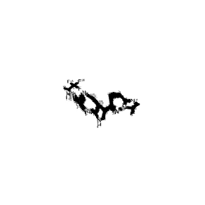 Cc1cnc2ccc(-c3c[nH]c4nc(NC(C)C(F)(F)F)ncc34)nn12